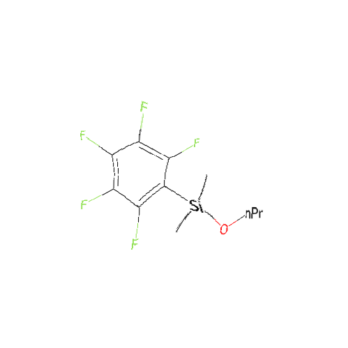 CCCO[Si](C)(C)c1c(F)c(F)c(F)c(F)c1F